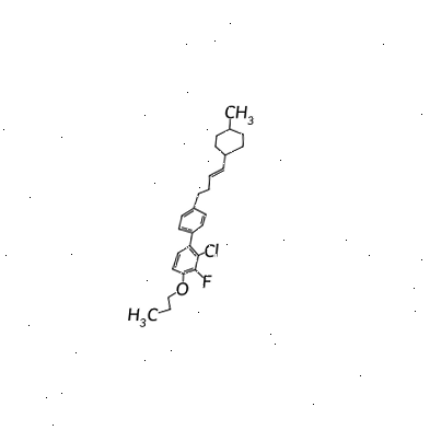 CCCOc1ccc(-c2ccc(CC/C=C/C3CCC(C)CC3)cc2)c(Cl)c1F